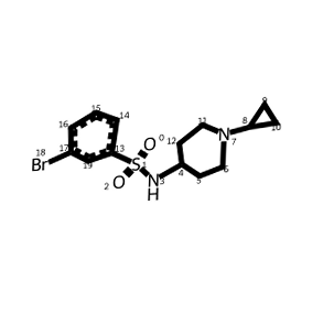 O=S(=O)(NC1CCN(C2CC2)CC1)c1cccc(Br)c1